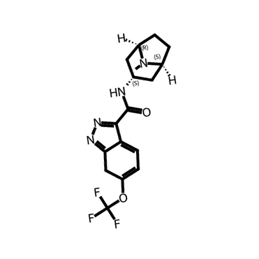 CN1[C@@H]2CC[C@H]1C[C@H](NC(=O)C1=NN=C3CC(OC(F)(F)F)=CC=C31)C2